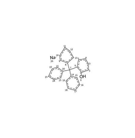 Oc1ccccc1C(c1ccccc1)(c1ccccc1)c1ccccc1.[Na]